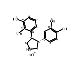 Cl.Oc1ccc([C@@H]2CNC[C@H]2c2cccc(O)c2Cl)cc1O